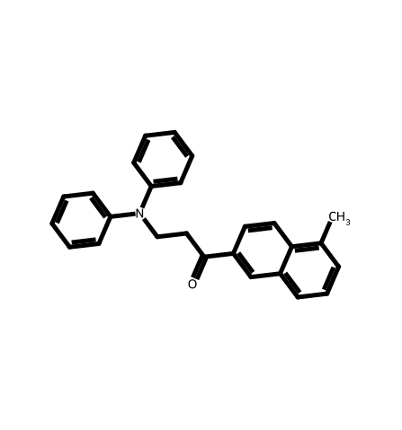 Cc1cccc2cc(C(=O)CCN(c3ccccc3)c3ccccc3)ccc12